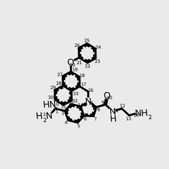 N=C(N)c1ccc2cc(C(=O)NCCN)n(Cc3cc(Oc4ccccc4)cc4ccccc34)c2c1